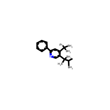 BC(C)C(B)(B)c1cnc(-c2ccccc2)cc1C(B)(B)C(C)C